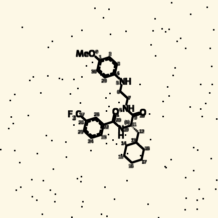 COc1ccc(NCCNC(=O)[C@H](CC2CCCCC2)NC(=O)c2cccc(C(F)(F)F)c2)cc1